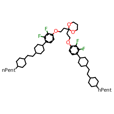 CCCCCC1CCC(CCC2CCC(c3ccc(OCCC4(CCOc5ccc(C6CCC(CCC7CCC(CCCCC)CC7)CC6)c(F)c5F)OCCCO4)c(F)c3F)CC2)CC1